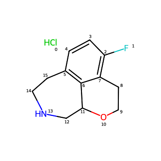 Cl.Fc1ccc2c3c1CCOC3CNCC2